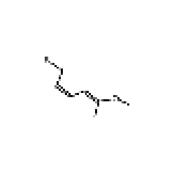 CO/C(C)=C/C=C\CF